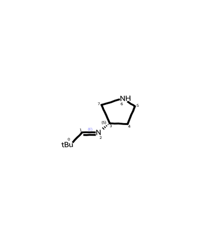 CC(C)(C)/C=N/[C@H]1CCNC1